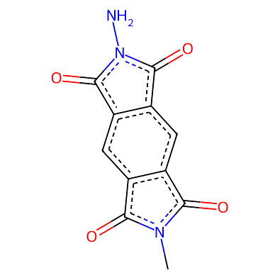 Cn1c(=O)c2cc3c(=O)n(N)c(=O)c3cc2c1=O